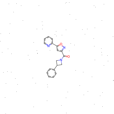 O=C(c1cc(-c2ccccn2)on1)N1CC(c2ccccc2)C1